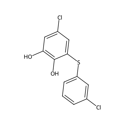 Oc1cc(Cl)cc(Sc2cccc(Cl)c2)c1O